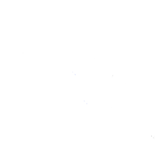 N#Cc1ccc(C(N)C2=C(Nc3cccc(C(F)(F)F)c3)CCC2=O)c(Cl)c1